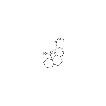 COc1ccc2c(c1)C1(C(=O)O)CCCCC1CC2